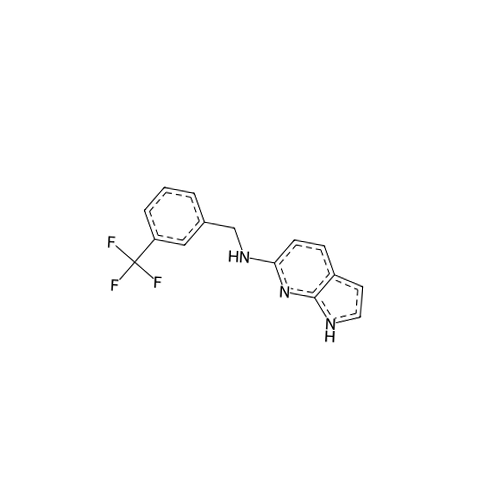 FC(F)(F)c1cccc(CNc2ccc3cc[nH]c3n2)c1